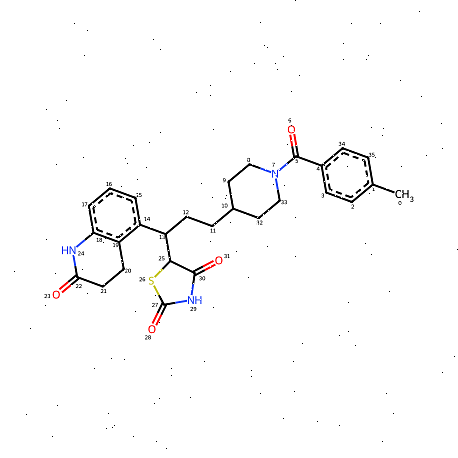 Cc1ccc(C(=O)N2CCC(CCC(c3cccc4c3CCC(=O)N4)C3SC(=O)NC3=O)CC2)cc1